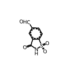 O=Cc1ccc2c(c1)C(=O)NS2(=O)=O